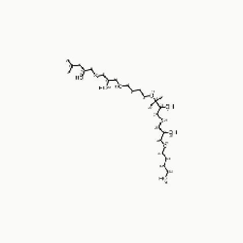 CC(C)CC(O)CSCC(O)COCCCCOC(C)(C)C(O)CSCC(O)COCCCCO